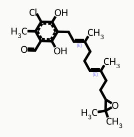 C/C(=C\Cc1c(O)c(Cl)c(C)c(C=O)c1O)CC/C=C(\C)CCC1OC1(C)C